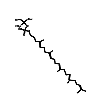 CCCCCCC(CC(C)=O)(NP(=O)(O)OCCC/C(C)=C/CC/C(C)=C/CC/C=C(\C)CC/C=C(\C)CCC=C(C)C)C(=O)O